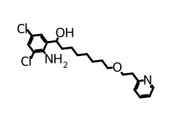 Nc1c(Cl)cc(Cl)cc1C(O)CCCCCCCOCCc1ccccn1